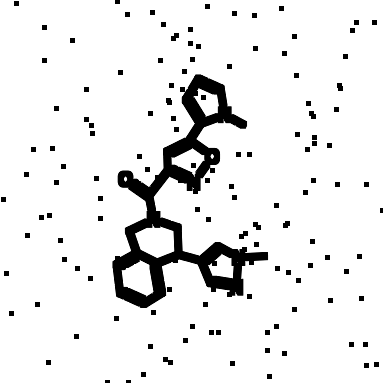 Cn1cc(C2CN(C(=O)c3cc(-c4cccn4C)on3)Cc3ccccc32)cn1